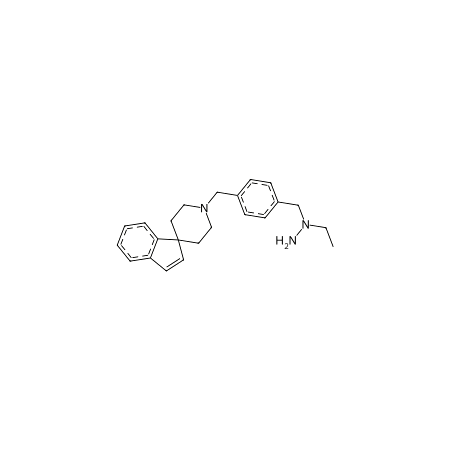 CCN(N)Cc1ccc(CN2CCC3(C=Cc4ccccc43)CC2)cc1